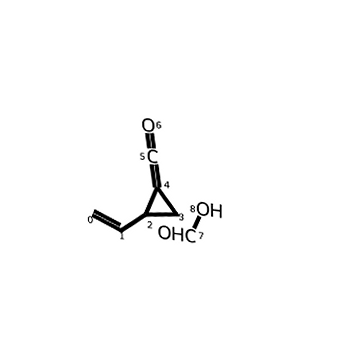 C=CC1CC1=C=O.O=CO